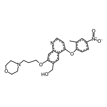 Cc1cc([N+](=O)[O-])ccc1Oc1ccnc2cc(OCCCN3CCOCC3)c(CO)cc12